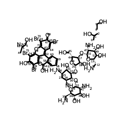 CC(C)O.CCCO.CCO.NC[C@@H]1O[C@H](O[C@H]2[C@@H](O)[C@H](O[C@@H]3[C@@H](O)[C@H](N)C[C@H](N)[C@H]3O[C@H]3O[C@H](CN)[C@@H](O)[C@H](O)[C@H]3N)O[C@@H]2CO)[C@H](N)[C@@H](O)[C@@H]1O.O=C(O)c1ccccc1-c1c2cc(Br)c(=O)c(Br)c-2oc2c(Br)c(O)c(Br)cc12.[Na+]